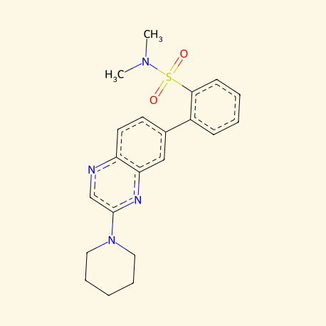 CN(C)S(=O)(=O)c1ccccc1-c1ccc2ncc(N3CCCCC3)nc2c1